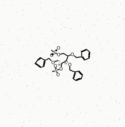 CS(=O)(=O)OCC(OCc1ccccc1)[C@H](OCc1ccccc1)[C@@H](COCc1ccccc1)OS(C)(=O)=O